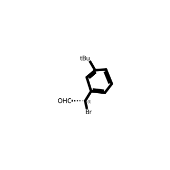 CC(C)(C)c1cccc([C@H](Br)C=O)c1